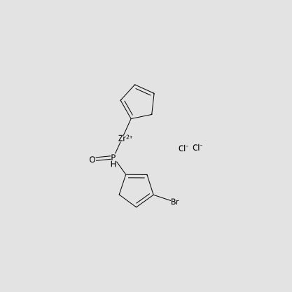 O=[PH]([Zr+2][C]1=CC=CC1)C1=CC(Br)=CC1.[Cl-].[Cl-]